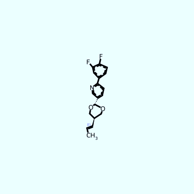 C/C=C/[C@H]1CO[C@H](c2ccc(-c3ccc(F)c(F)c3)nc2)OC1